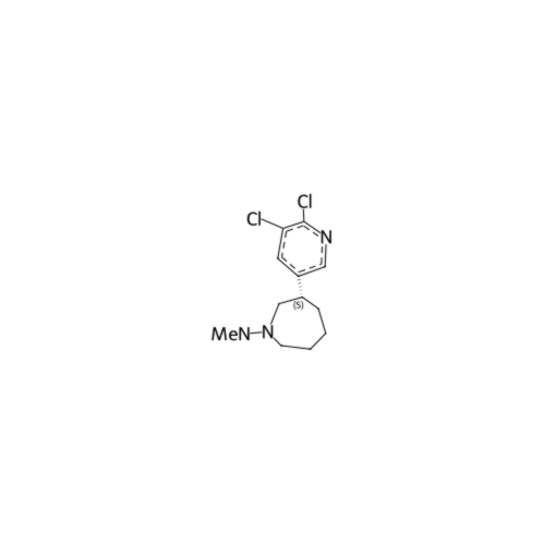 CNN1CCCC[C@@H](c2cnc(Cl)c(Cl)c2)C1